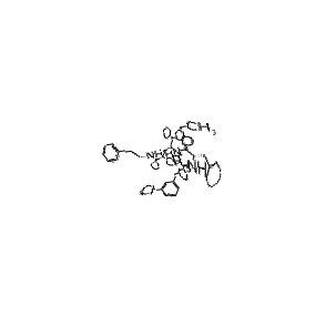 CCOC(=O)[C@H](CC(C)C(=O)NCCc1ccccc1)NC(=O)[C@H](CC1CCCCC1)NC(=O)OCc1cccc(Cl)c1